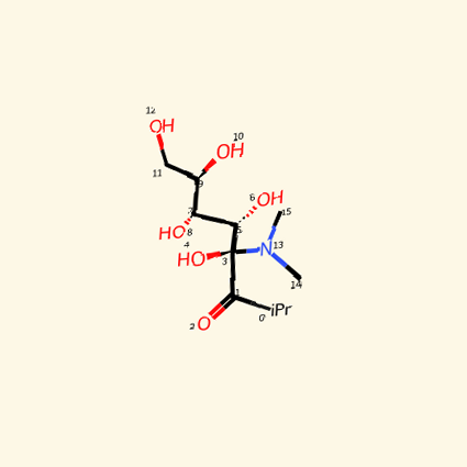 CC(C)C(=O)[C@](O)([C@@H](O)[C@H](O)[C@H](O)CO)N(C)C